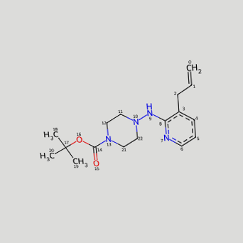 C=CCc1cccnc1NN1CCN(C(=O)OC(C)(C)C)CC1